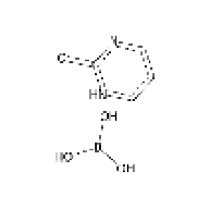 O=c1nccc[nH]1.OB(O)O